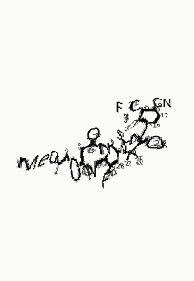 COCCOc1cc(=O)n2cc(N3C(=S)N(c4ccc(C#N)c(C(F)(F)F)c4)C(=O)C3(C)C)cc(F)c2n1